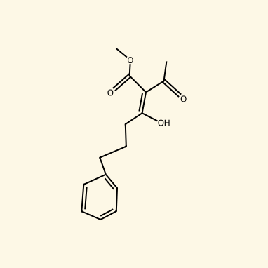 COC(=O)/C(C(C)=O)=C(/O)CCCc1ccccc1